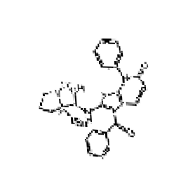 CC(C)(C)[C@@]1(C(=O)Nc2sc3c(ccc(=O)n3-c3ccccc3)c2C(=O)c2ccccc2)CCCN1C(=O)O